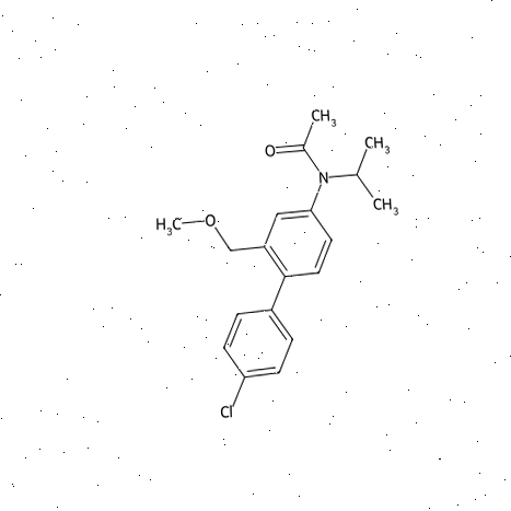 COCc1cc(N(C(C)=O)C(C)C)ccc1-c1ccc(Cl)cc1